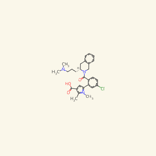 Cc1c(C(=O)O)cc(-c2cc(Cl)ccc2C(=O)N2Cc3ccccc3C[C@H]2CCCN(C)C)n1C